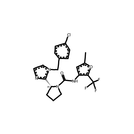 Cc1cc(NC(=O)N2CCC[C@@H]2c2nccn2Cc2ccc(Cl)cc2)c(C(F)(F)F)o1